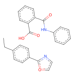 CCc1ccc(-c2ncco2)cc1.O=C(O)c1ccccc1C(=O)Nc1ccccc1